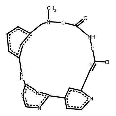 CN1CC(=O)NC/C(Cl)=C/c2cc(ccn2)-c2ncnc(n2)Nc2cccc(c2)C1